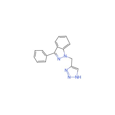 c1ccc(-c2nn(Cc3c[nH]nn3)c3ccccc23)cc1